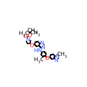 Cc1cc(Nc2ncnc3ccc(O[C@@H]4CCN(C(=O)OC(C)(C)C)C4)cc23)ccc1Oc1ccc2c(c1)ncn2C